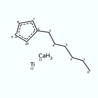 CCCCCCc1ccsc1.[CaH2].[Ti]